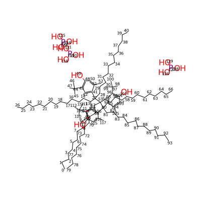 CCCCCCCCCCCCCC(CCCCCCCCCCCCC)C(CCCCCCCCCCCCC)(c1cc(C(C)(C)C)c(O)cc1C)C(CCCCCCCCCCCCC)(CCCCCCCCCCCCC)C(CCCCCCCCCCCCC)(c1cc(C(C)(C)C)c(O)cc1C)c1cc(C(C)(C)C)c(O)cc1C.OP(O)O.OP(O)O.OP(O)O